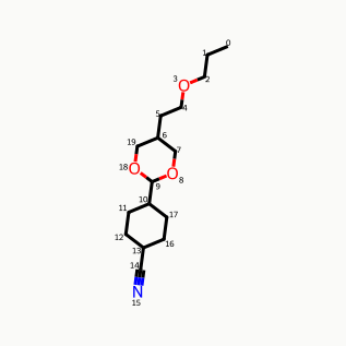 CCCOCCC1COC(C2CCC(C#N)CC2)OC1